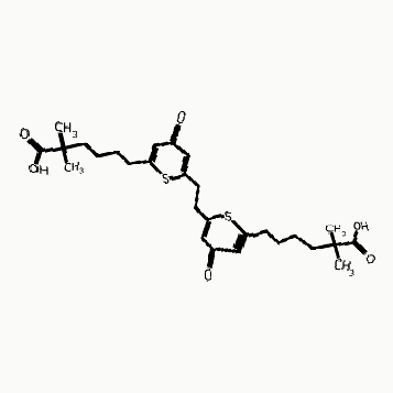 CC(C)(CCCCc1cc(=O)cc(CCc2cc(=O)cc(CCCCC(C)(C)C(=O)O)s2)s1)C(=O)O